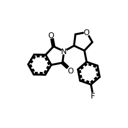 O=C1c2ccccc2C(=O)N1C1COCC1c1ccc(F)cc1